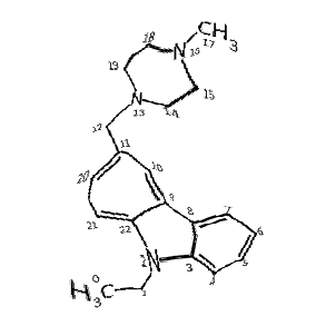 CCn1c2ccccc2c2cc(CN3CCN(C)CC3)ccc21